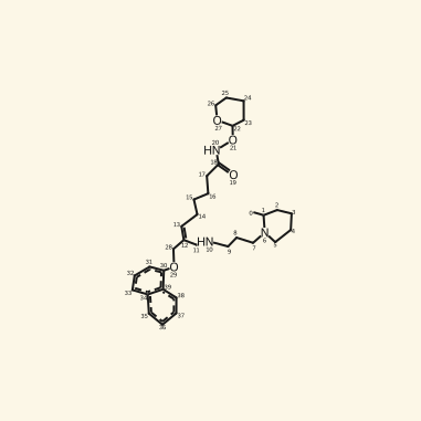 CC1CCCCN1CCCNCC(=CCCCCC(=O)NOC1CCCCO1)COc1cccc2ccccc12